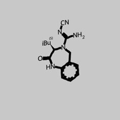 CC[C@H](C)C1C(=O)Nc2ccccc2CN1C(N)=NC#N